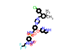 CC1(C)CCC(CN2CCN(c3ccc(C(=O)NS(=O)(=O)c4ccc(NCC(F)C(F)F)c([N+](=O)[O-])c4)c(Oc4cnc5[nH]ccc5c4)c3)CC2)=C(c2ccc(Cl)cc2)C1